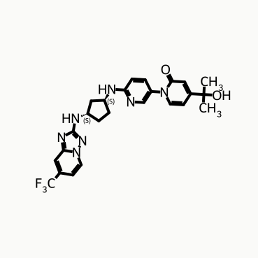 CC(C)(O)c1ccn(-c2ccc(N[C@H]3CC[C@H](Nc4nc5cc(C(F)(F)F)ccn5n4)C3)nc2)c(=O)c1